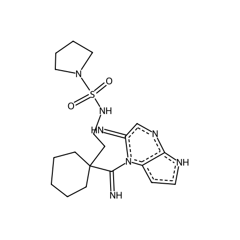 N=C(n1c(=N)cnc2[nH]ccc21)C1(CCNS(=O)(=O)N2CCCC2)CCCCC1